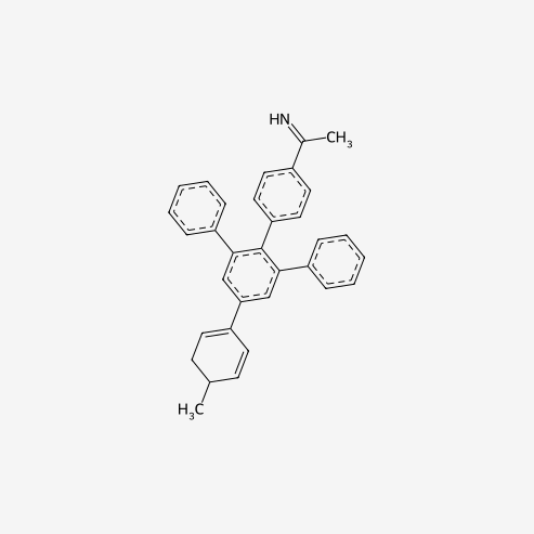 CC(=N)c1ccc(-c2c(-c3ccccc3)cc(C3=CCC(C)C=C3)cc2-c2ccccc2)cc1